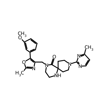 COc1cccc(-c2oc(C)nc2CN2CCNC3(CCN(c4nccc(C)n4)CC3)C2=O)c1